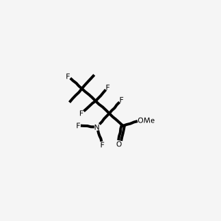 COC(=O)C(F)(N(F)F)C(F)(F)C(C)(C)F